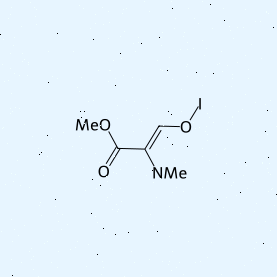 CN/C(=C\OI)C(=O)OC